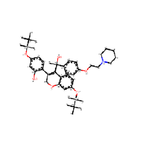 CC(O)(C1=C(c2ccc(O[Si](C)(C)C(C)(C)C)cc2O)COc2cc(O[Si](C)(C)C(C)(C)C)ccc21)c1ccc(OCCN2CCCCC2)cc1